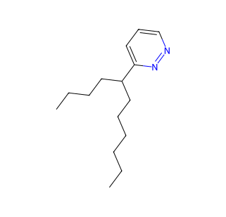 CCCCCCC(CCCC)c1cccnn1